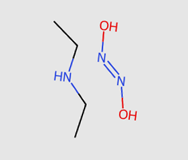 CCNCC.ON=NO